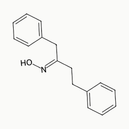 ON=C(CCc1ccccc1)Cc1ccccc1